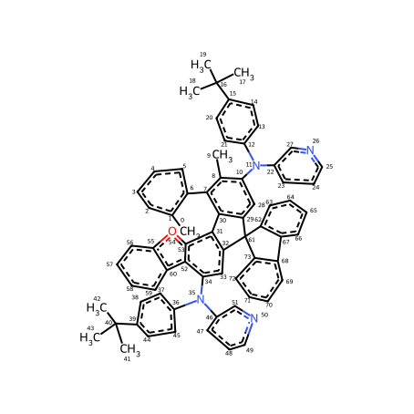 Cc1ccccc1-c1c(C)c(N(c2ccc(C(C)(C)C)cc2)c2cccnc2)cc2c1-c1c(cc(N(c3ccc(C(C)(C)C)cc3)c3cccnc3)c3c1oc1ccccc13)C21c2ccccc2-c2ccccc21